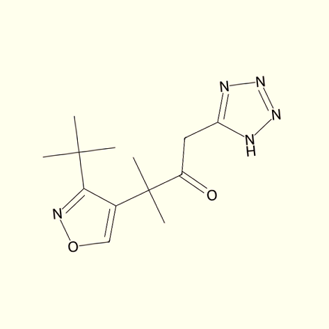 CC(C)(C)c1nocc1C(C)(C)C(=O)Cc1nnn[nH]1